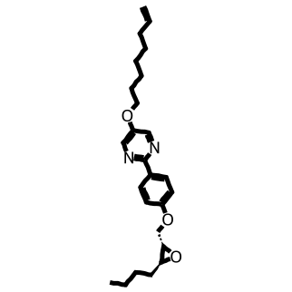 C=CCCCCCCOc1cnc(-c2ccc(OC[C@@H]3O[C@H]3CCCC)cc2)nc1